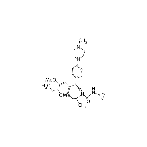 C/C=C(OC)\C(=C/C1=CCC(C)N(C(=O)NC2CC2)N=C1c1ccc(N2CCN(C)CC2)cc1)OC